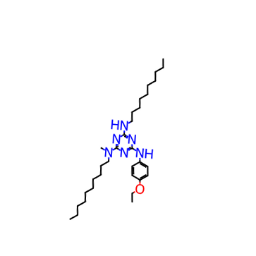 CCCCCCCCCCNc1nc(Nc2ccc(OCC)cc2)nc(N(C)CCCCCCCCCC)n1